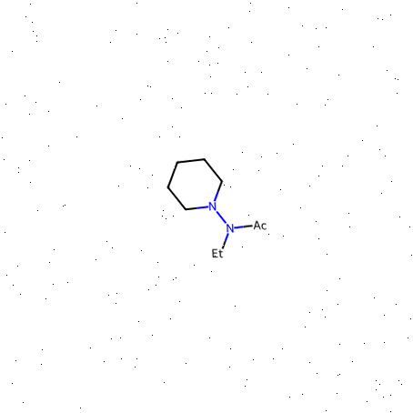 [CH2]CN(C(C)=O)N1CCCCC1